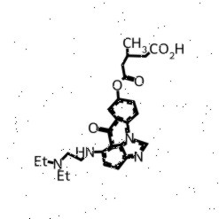 CCN(CC)CCNc1ccc2ncn3c4ccc(OC(=O)CC(C)CC(=O)O)cc4c(=O)c1c23